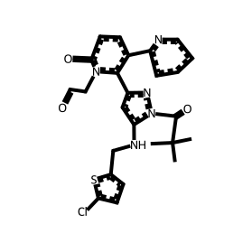 CC(C)(C)C(=O)n1nc(-c2c(-c3ccccn3)ccc(=O)n2CC=O)cc1NCc1ccc(Cl)s1